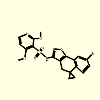 COc1ccnc(OC)c1S(=O)(=O)Nc1noc2c1CC1(CC1)c1ccc(Br)cc1-2